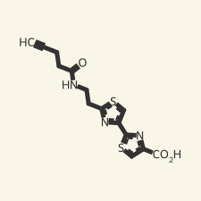 C#CCCC(=O)NCCc1nc(-c2nc(C(=O)O)cs2)cs1